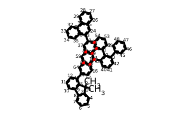 CC1(C)c2ccccc2-c2cccc(-c3ccc(N(c4ccc(-c5cc6ccccc6c6ccccc56)cc4)c4cccc(-c5ccccc5)c4-c4ccccc4-c4ccccc4)cc3)c21